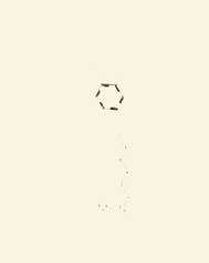 CNCCCCCCOc1ccc(C(C)C)c(Cl)c1